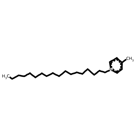 CCCCCCCCCCCCCCCCCC[n+]1ccc(C)cc1